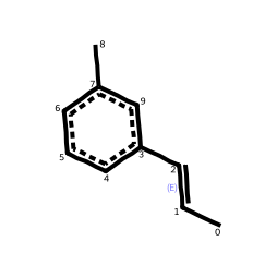 C/C=[C]/c1cccc(C)c1